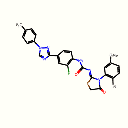 COc1ccc(C(C)C)c(N2C(=O)CS/C2=N\C(=O)Nc2ccc(-c3ncn(-c4ccc(C(F)(F)F)cc4)n3)cc2F)c1